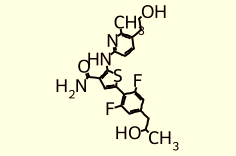 Cc1nc(Nc2sc(-c3c(F)cc(CC(C)O)cc3F)cc2C(N)=O)ccc1CCO